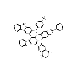 CC(C)(C)c1ccc(N2B3c4cc5nc(-c6ccccc6)sc5cc4-n4c5cc6c(cc5c5c7oc8ccccc8c7c(c3c54)-c3cc4c(cc32)C(C)(C)c2ccccc2-4)C(C)(C)CCC6(C)C)cc1